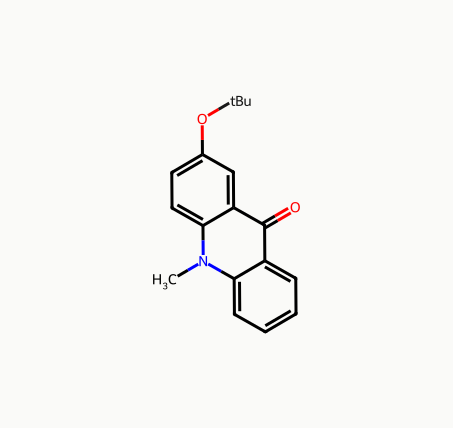 Cn1c2ccccc2c(=O)c2cc(OC(C)(C)C)ccc21